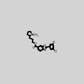 CN1CCCC1CCCOC(=O)c1ccc2nc(-c3cc(Cl)cc(Cl)c3)oc2c1